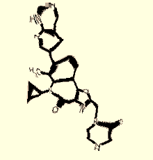 Cc1c(-c2cnc3[nH]ncc3c2)ccc2c3oc(CN4CCNCC4=O)nc3c(=O)n(C3CC3)c12